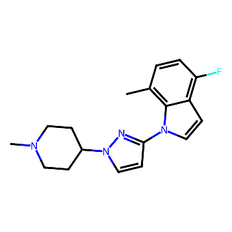 Cc1ccc(F)c2ccn(-c3ccn(C4CCN(C)CC4)n3)c12